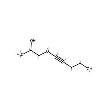 CC(O)COC#CCCO